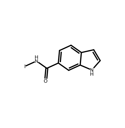 O=C(NI)c1ccc2cc[nH]c2c1